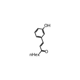 CCCCCCC(=O)C=Cc1cccc(O)c1